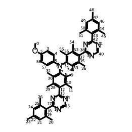 COc1ccc(N(c2c(C)c(C)c(-c3ncnc(-c4c(C)cc(C)cc4C)n3)c(C)c2C)c2c(C)c(C)c(-c3ncnc(-c4c(C)cc(C)cc4C)n3)c(C)c2C)cc1